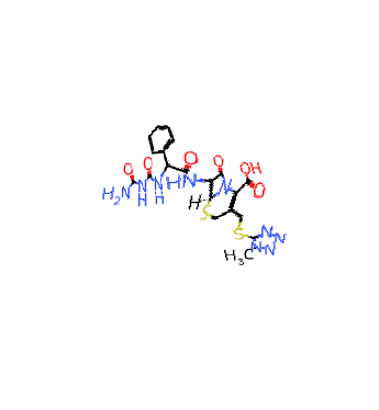 Cn1nnnc1SCC1=C(C(=O)O)N2C(=O)C(NC(=O)C(NC(=O)NC(N)=O)c3ccccc3)[C@@H]2SC1